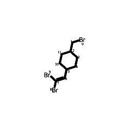 BrCC1CCC(C=C(Br)Br)CC1